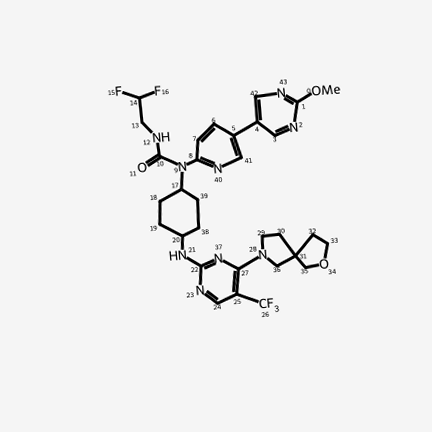 COc1ncc(-c2ccc(N(C(=O)NCC(F)F)C3CCC(Nc4ncc(C(F)(F)F)c(N5CCC6(CCOC6)C5)n4)CC3)nc2)cn1